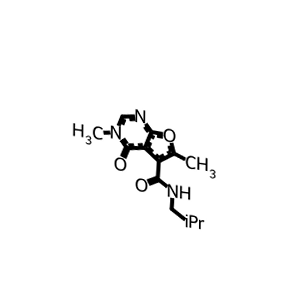 Cc1oc2ncn(C)c(=O)c2c1C(=O)NCC(C)C